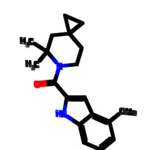 COc1cccc2[nH]c(C(=O)N3CCC4(CC4)CC3(C)C)cc12